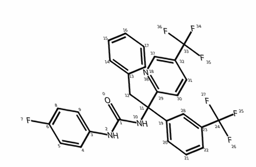 O=C(Nc1ccc(F)cc1)NC(Cc1ccccc1)(c1cccc(C(F)(F)F)c1)c1ccc(C(F)(F)F)cn1